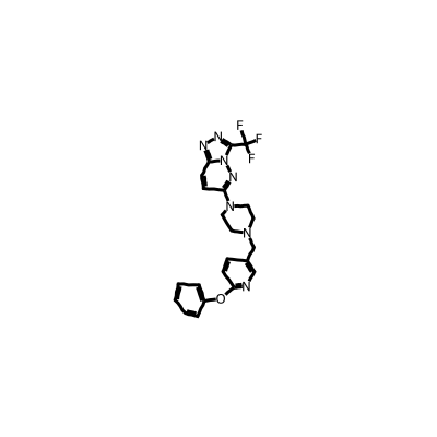 FC(F)(F)c1nnc2ccc(N3CCN(Cc4ccc(Oc5ccccc5)nc4)CC3)nn12